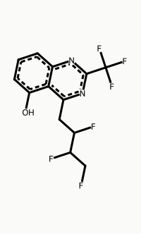 Oc1cccc2nc(C(F)(F)F)nc(CC(F)C(F)CF)c12